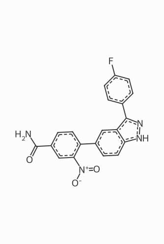 NC(=O)c1ccc(-c2ccc3[nH]nc(-c4ccc(F)cc4)c3c2)c([N+](=O)[O-])c1